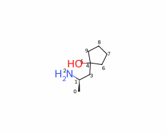 C[C@@H](N)CC1(O)CCCC1